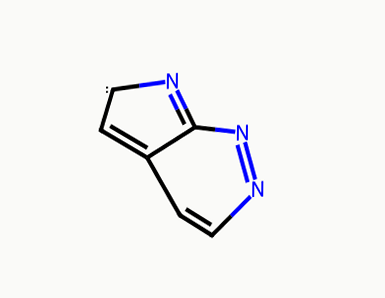 [C]1C=c2ccnnc2=N1